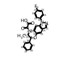 C[C@H](NC(=O)C(=O)O)[C@H](Oc1ccc2c(cnn2-c2ccc(F)cc2)c1)c1ccccc1